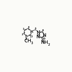 Cc1cccc(Cn2cnc(N)n2)c1